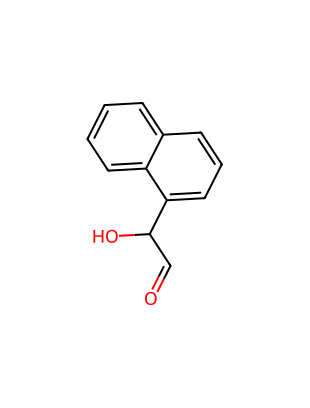 O=CC(O)c1cccc2ccccc12